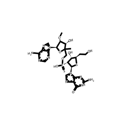 CO[C@H]1[C@H](n2cnc3c(N)ncnc32)OC(C)(COP(O)(=S)[C@@H]2[C@H](O)[C@@H](CCO)S[C@H]2n2cnc3c(=O)[nH]c(N)nc32)[C@H]1O